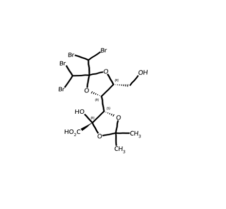 CC1(C)O[C@@H]([C@@H]2OC(C(Br)Br)(C(Br)Br)O[C@@H]2CO)[C@](O)(C(=O)O)O1